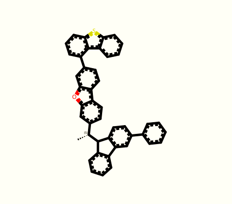 C[C@H](c1ccc2c(c1)oc1cc(-c3cccc4sc5ccccc5c34)ccc12)C1c2ccccc2-c2cc(-c3ccccc3)ccc21